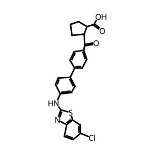 O=C(O)C1CCCC1C(=O)c1ccc(-c2ccc(Nc3nc4ccc(Cl)cc4s3)cc2)cc1